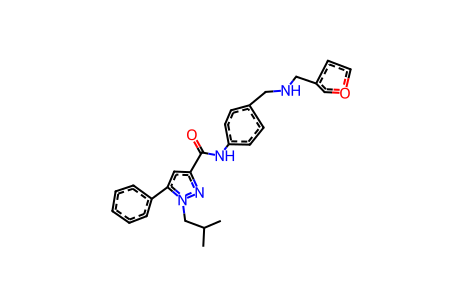 CC(C)Cn1nc(C(=O)Nc2ccc(CNCc3ccoc3)cc2)cc1-c1ccccc1